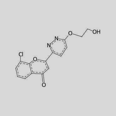 O=c1cc(-c2ccc(OCCO)nn2)oc2c(Cl)cccc12